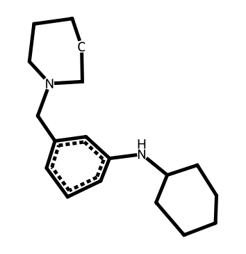 c1cc(CN2CCCCC2)cc(NC2CCCCC2)c1